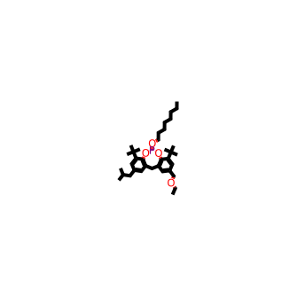 CCCCCCCCOP1Oc2c(cc(COCC)cc2C(C)(C)C)Cc2cc(CC(C)C)cc(C(C)(C)C)c2O1